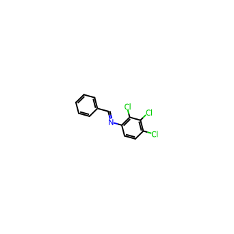 Clc1ccc(N=Cc2ccccc2)c(Cl)c1Cl